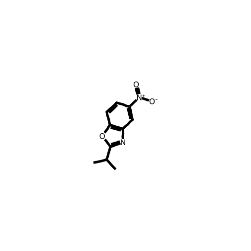 CC(C)c1nc2cc([N+](=O)[O-])ccc2o1